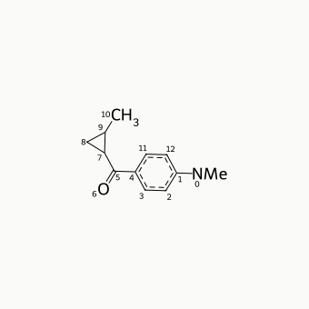 CNc1ccc(C(=O)C2CC2C)cc1